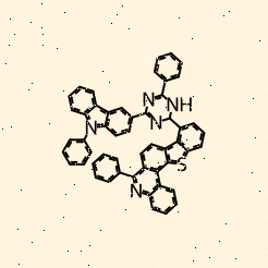 c1ccc(C2=NC(c3ccc4c(c3)c3ccccc3n4-c3ccccc3)=NC(c3cccc4sc5c(ccc6c(-c7ccccc7)nc7ccccc7c65)c34)N2)cc1